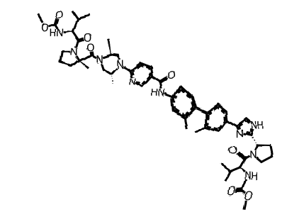 COC(=O)N[C@H](C(=O)N1CCC[C@H]1c1nc(-c2ccc(-c3ccc(NC(=O)c4ccc(N5C[C@H](C)N(C(=O)[C@]6(C)CCCN6C(=O)[C@@H](NC(=O)OC)C(C)C)C[C@H]5C)nc4)cc3C)c(C)c2)c[nH]1)C(C)C